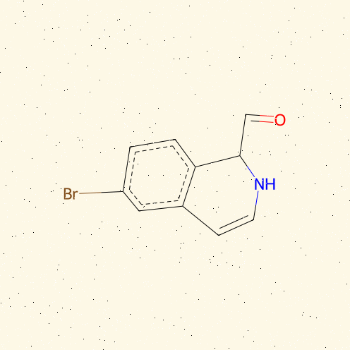 O=CC1NC=Cc2cc(Br)ccc21